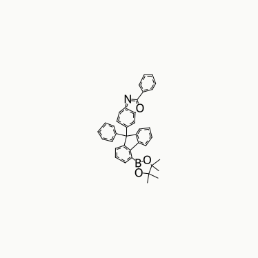 CC1(C)OB(c2cccc3c2-c2ccccc2C3(c2ccccc2)c2ccc3nc(-c4ccccc4)oc3c2)OC1(C)C